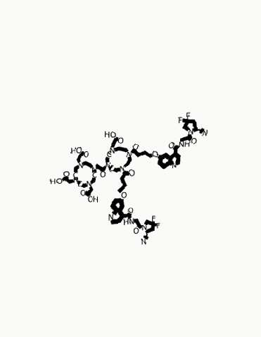 N#C[C@@H]1CC(F)(F)CN1C(=O)CNC(=O)c1ccnc2ccc(OCCCC(=O)N3CCN(CC(=O)O)CCN(C(=O)CN4CCN(CC(=O)O)CCN(CC(=O)O)CCN(CC(=O)O)CC4)CCN(C(=O)CCCOc4ccc5nccc(C(=O)NCC(=O)N6CC(F)(F)C[C@H]6C#N)c5c4)CC3)cc12